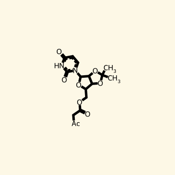 CC(=O)CC(=O)OCC1OC(n2ccc(=O)[nH]c2=O)C2OC(C)(C)OC12